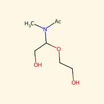 CC(=O)N(C)C(CO)OCCO